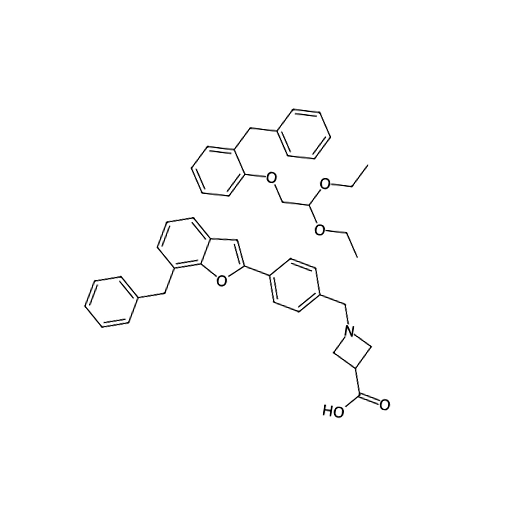 CCOC(COc1ccccc1Cc1ccccc1)OCC.O=C(O)C1CN(Cc2ccc(-c3cc4cccc(Cc5ccccc5)c4o3)cc2)C1